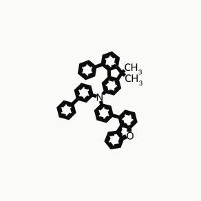 CC1(C)c2ccc(N(c3cccc(-c4ccccc4)c3)c3cccc(-c4cccc5oc6ccccc6c45)c3)cc2-c2c(-c3ccccc3)cccc21